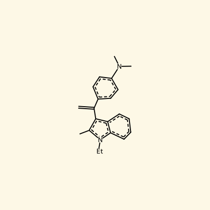 C=C(c1ccc(N(C)C)cc1)c1c(C)n(CC)c2ccccc12